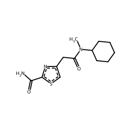 CN(C(=O)Cc1csc(C(N)=O)n1)C1CCCCC1